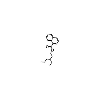 CCCC(CC)CCOC(=O)c1cccc2ccccc12